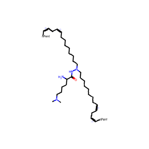 CCCCC/C=C\C/C=C\CCCCCCCCN(CCCCCCCC/C=C\C/C=C\CCCCC)NC(=O)C(N)CCCCN(C)C